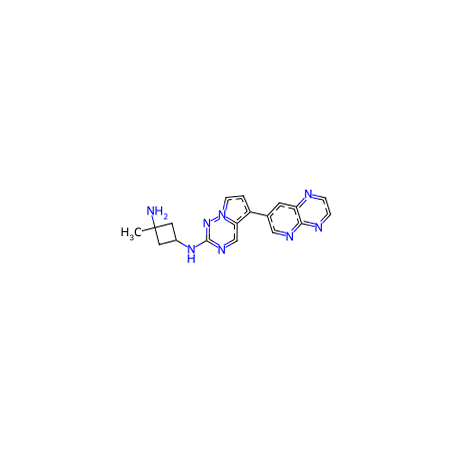 CC1(N)CC(Nc2ncc3c(-c4cnc5nccnc5c4)ccn3n2)C1